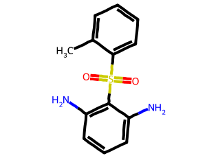 Cc1ccccc1S(=O)(=O)c1c(N)cccc1N